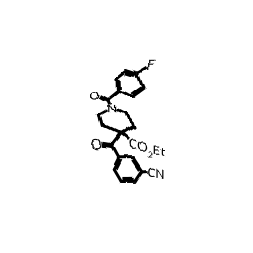 CCOC(=O)C1(C(=O)c2cccc(C#N)c2)CCN(C(=O)c2ccc(F)cc2)CC1